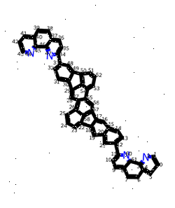 c1cnc2c(c1)ccc1ccc(-c3ccc4cc5c(cc4c3)c3cccc4c6cc7c8ccc(-c9ccc%10ccc%11cccnc%11c%10n9)cc8c8cccc(c6cc5c34)c87)nc12